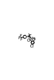 COc1ccc(Cl)cc1C(=O)N[C@H]1[C@H](C2C=CC(C(F)(F)F)=CC2)C1(C)C